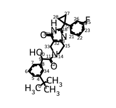 CC(C)(C)c1cccc(C(O)C(=O)N2CCc3nc(C4(c5cccc(F)c5)CC4)[nH]c(=O)c3C2)c1